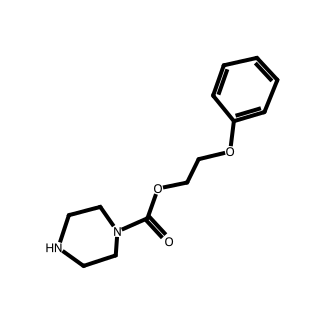 O=C(OCCOc1ccccc1)N1CCNCC1